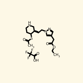 CCOC(=O)Cc1cnn(C/C=C2\CNCCC2SC(C)=O)c1.O=C(O)C(F)(F)F